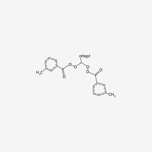 [CH2]CCCCCC[C](OOC(=O)c1cccc(C)c1)OOC(=O)c1cccc(C)c1